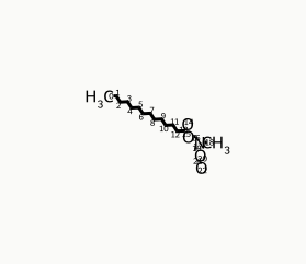 CCCCCCCCCCCCCC(=O)OCN(C)COC=O